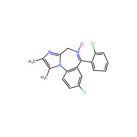 Cc1nc2n(c1C)-c1ccc(F)cc1C(c1ccccc1Cl)=[N+]([O-])C2